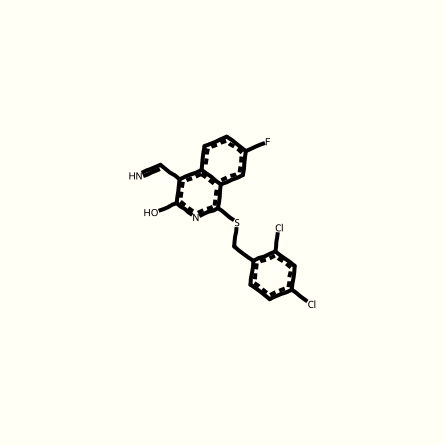 N=Cc1c(O)nc(SCc2ccc(Cl)cc2Cl)c2cc(F)ccc12